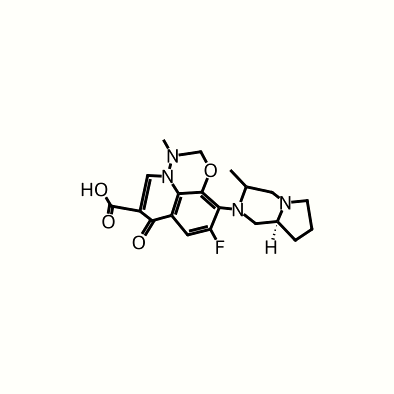 CC1CN2CCC[C@H]2CN1c1c(F)cc2c(=O)c(C(=O)O)cn3c2c1OCN3C